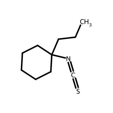 CCCC1(N=C=S)CCCCC1